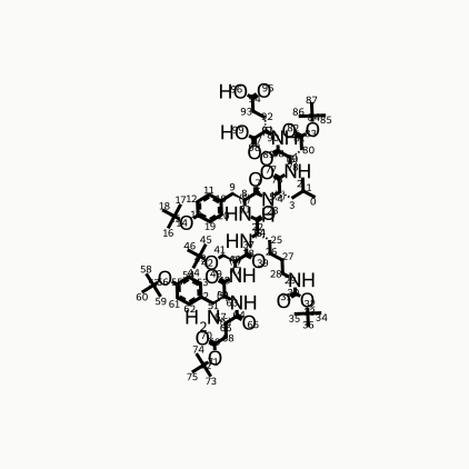 CC(C)C[C@H](NC(=O)[C@H](Cc1ccc(OC(C)(C)C)cc1)NC(=O)[C@H](CCCCNC(=O)OC(C)(C)C)NC(=O)[C@H](COC(C)(C)C)NC(=O)[C@H](Cc1ccc(OC(C)(C)C)cc1)NC(=O)[C@@H](N)CC(=O)OC(C)(C)C)C(=O)N[C@@H](CC(=O)OC(C)(C)C)C(=O)N[C@@H](CCC(=O)O)C(=O)O